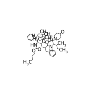 CCCCOC(=O)NC(Cc1ccccc1)C(CC(Cc1ccccc1)C(=O)N[C@H](C(=O)N1CCC(=O)CC1)[C@@H](C)CC)O[Si](C)(C)C(C)(C)C